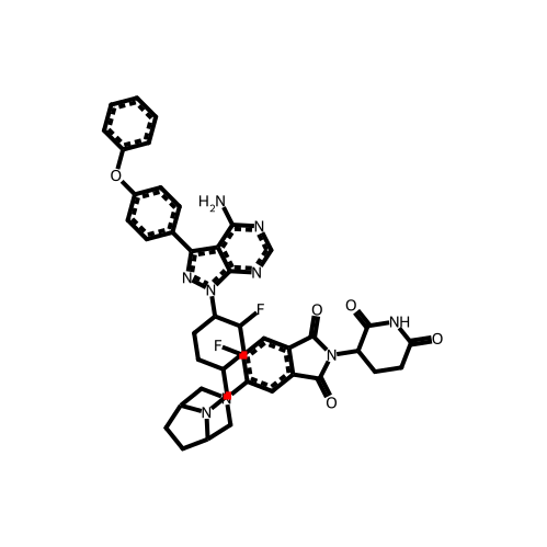 Nc1ncnc2c1c(-c1ccc(Oc3ccccc3)cc1)nn2C1CCC(CN2C3CCC2CN(c2cc4c(cc2F)C(=O)N(C2CCC(=O)NC2=O)C4=O)C3)CC1F